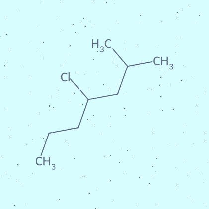 CCCC(Cl)CC(C)C